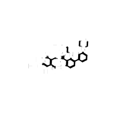 C=CC(=O)Nc1c(-c2cccc(N3CCOCC3)c2)ccc(C)c1C(=O)NCc1c(CC)cc(C)[nH]c1=O